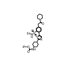 CCNS(=O)(=O)c1cc(CC(=O)N2CCCCC2)ccc1-c1cnc(C2CCC(NC(=O)OC(C)C)CC2)s1